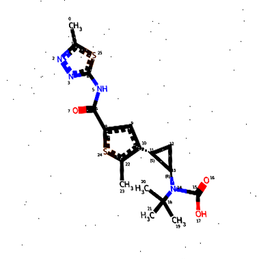 Cc1nnc(NC(=O)c2cc([C@@H]3C[C@H]3N(C(=O)O)C(C)(C)C)c(C)s2)s1